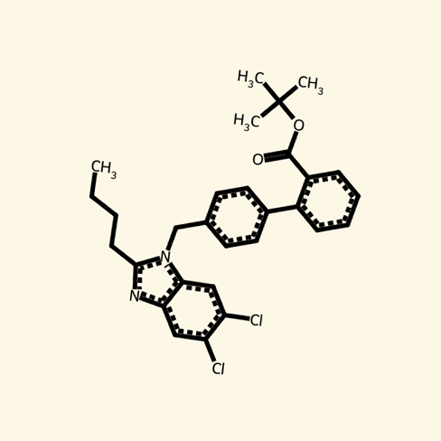 CCCCc1nc2cc(Cl)c(Cl)cc2n1Cc1ccc(-c2ccccc2C(=O)OC(C)(C)C)cc1